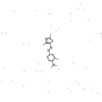 Cc1n[n+](C)c(N=Nc2ccc(N(C)C)c(C)c2)s1